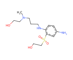 CN(CCO)CCCNc1ccc(N)cc1S(=O)(=O)CCO